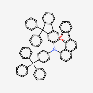 c1ccc(C2(c3ccccc3)c3ccccc3-c3ccc(N(c4ccc([Si](c5ccccc5)(c5ccccc5)c5ccccc5)cc4)c4cccc5ccc6c7ccccc7oc6c45)cc32)cc1